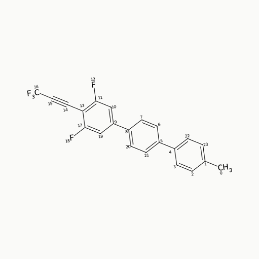 Cc1ccc(-c2ccc(-c3cc(F)c(C#CC(F)(F)F)c(F)c3)cc2)cc1